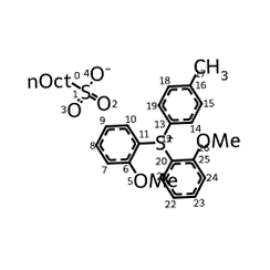 CCCCCCCCS(=O)(=O)[O-].COc1ccccc1[S+](c1ccc(C)cc1)c1ccccc1OC